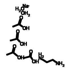 CC(=O)O.CC(=O)O.CC(=O)O.CC(=O)O.NCCN.O.O.[Na]